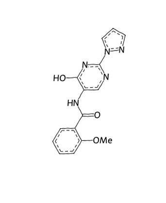 COc1ccccc1C(=O)Nc1cnc(-n2cccn2)nc1O